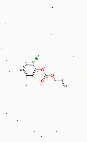 C=CCOC(=O)Oc1ccccc1Br